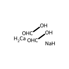 O=CO.O=CO.[CaH2].[NaH]